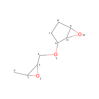 CC1OC1COC1CCC2OC12